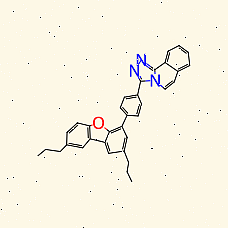 CCCc1ccc2oc3c(-c4ccc(-c5nnc6c7ccccc7ccn56)cc4)cc(CCC)cc3c2c1